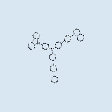 c1ccc(-c2ccc(-c3ccc(N(c4ccc(-c5ccc(-c6cccc7ccccc67)cc5)cc4)c4ccc(-n5c6ccccc6c6ccccc65)cc4)cc3)cc2)cc1